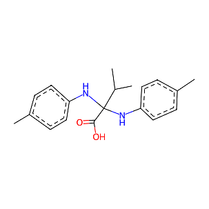 Cc1ccc(NC(Nc2ccc(C)cc2)(C(=O)O)C(C)C)cc1